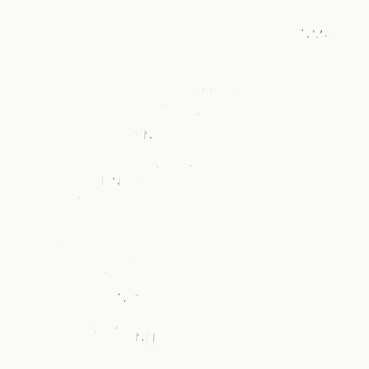 CNCC#CCOc1ccc(C(=O)Nc2ccc(F)c([C@]3(C)CCSC(N)=N3)c2)nc1